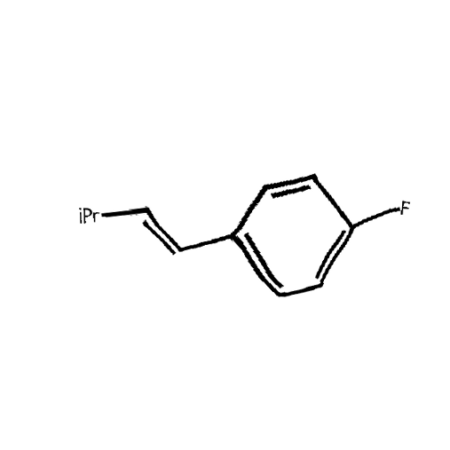 CC(C)/C=C/c1ccc(F)cc1